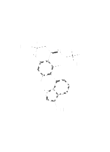 Cc1c[nH]c2c(-c3c(F)cc4c(c3F)/C(=N\OC(C)(C)C)CC(C)(C)N4)cccc12